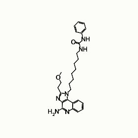 COCCc1nc2c(N)nc3ccccc3c2n1CCCCCCCCNC(=O)Nc1ccccc1